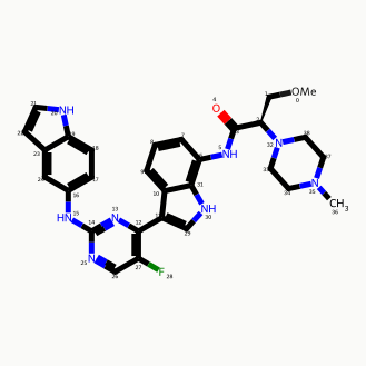 COC[C@H](C(=O)Nc1cccc2c(-c3nc(Nc4ccc5[nH]ccc5c4)ncc3F)c[nH]c12)N1CCN(C)CC1